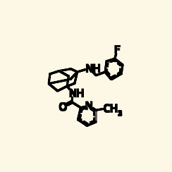 Cc1cccc(C(=O)NC23CC4CC(CC(NCc5cccc(F)c5)(C4)C2)C3)n1